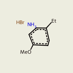 Br.CCc1ccc(OC)cc1.N